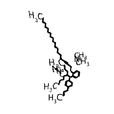 CCCCCCCCCCCCCCCCCC#CCCc1ccccc1C(=C(CCCC)C(=C=[N+]=[N-])CCCC)c1ccc(CCCC)cc1.[CH3][Ni][CH3]